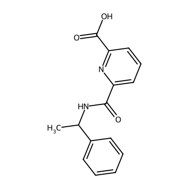 CC(NC(=O)c1cccc(C(=O)O)n1)c1ccccc1